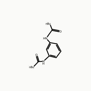 CCCCC(=O)Nc1cccc(NC(=O)CCCC)c1